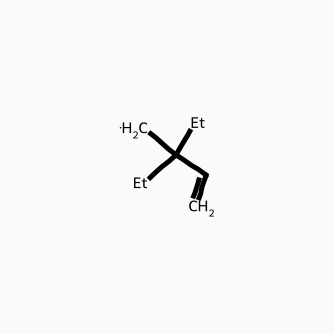 [CH2]C(C=C)(CC)CC